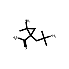 CC(C)(N)CC1(C(N)=O)CC1(C)N